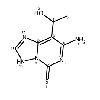 CC(O)c1c(N)nc(=S)n2[nH]cnc12